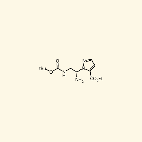 CCOC(=O)c1ccnn1[C@@H](N)CNC(=O)OC(C)(C)C